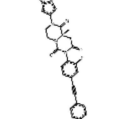 Cn1cc(N2CCN3C(=O)N(c4ccc(C#Cc5ccccc5)cc4Cl)C(=O)C[C@@]3(C)C2=O)cn1